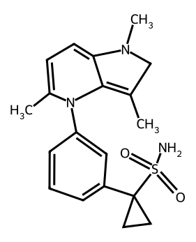 CC1=CC=C2C(=C(C)CN2C)N1c1cccc(C2(S(N)(=O)=O)CC2)c1